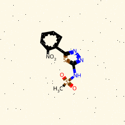 CS(=O)(=O)Nc1nnc(-c2ccccc2[N+](=O)[O-])s1